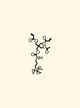 C=CC(=O)OCC(COC(C)=O)(COC(=O)C=C)COC(=O)NCCC[Si](OC)(OC)OC